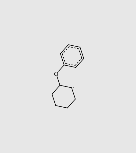 [CH]1CCCCC1Oc1ccccc1